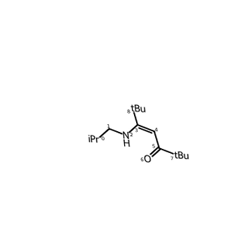 CC(C)CN/C(=C\C(=O)C(C)(C)C)C(C)(C)C